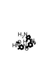 CC(=O)Nc1cc(NC(=O)c2ccc3c(c2)c(-c2ccc(N)cc2C)nn3C)ccc1C